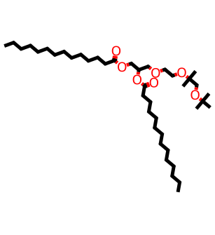 CCCCCCCCCCCCCC(=O)OCC(COCCOC(C)(C)COC(C)(C)C)OC(=O)CCCCCCCCCCCCC